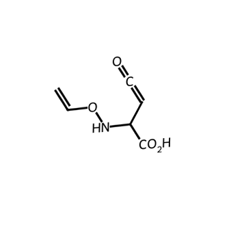 C=CONC(C=C=O)C(=O)O